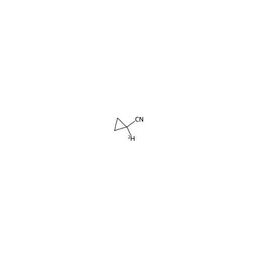 [2H]C1(C#N)CC1